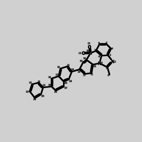 Cc1nc2cccc3c2n1-c1ccc(-c2ccc4cc(-c5ccccc5)ccc4c2)cc1S3(=O)=O